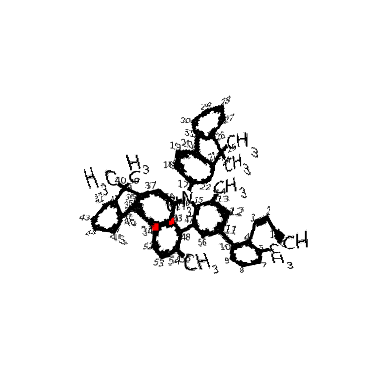 C#C/C=C\c1c(C)cccc1-c1cc(C)c(N(c2ccc3c(c2)C(C)(C)c2ccccc2-3)c2ccc3c(c2)C(C)(C)c2ccccc2-3)c(-c2c(C)cccc2C)c1